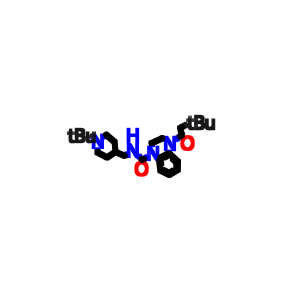 CC(C)(C)CC(=O)N1CCN(C(=O)NCC2CCN(C(C)(C)C)CC2)c2ccccc21